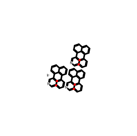 [Ir].c1ccc(-c2cccc3cccc(-c4cccnc4)c23)cc1.c1ccc(-c2cccc3cccc(-c4cccnc4)c23)cc1.c1ccc(-c2cccc3cccc(-c4cccnc4)c23)cc1